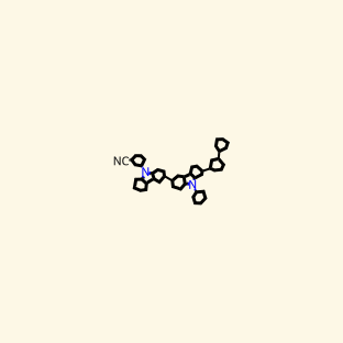 N#Cc1cccc(-n2c3ccccc3c3cc(-c4ccc5c(c4)c4ccc(-c6cccc(-c7ccccc7)c6)cc4n5-c4ccccc4)ccc32)c1